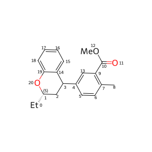 CC[C@H]1CC(c2ccc(C)c(C(=O)OC)c2)c2ccccc2O1